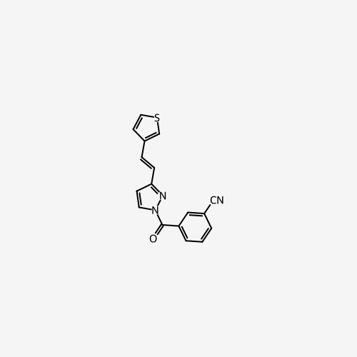 N#Cc1cccc(C(=O)n2ccc(/C=C/c3ccsc3)n2)c1